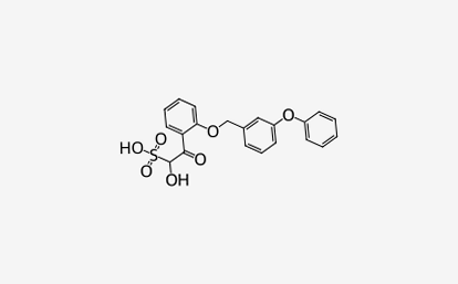 O=C(c1ccccc1OCc1cccc(Oc2ccccc2)c1)C(O)S(=O)(=O)O